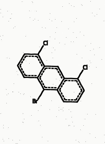 Clc1cccc2c(Br)c3cccc(Cl)c3cc12